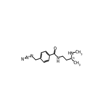 CN[C@@H](C)CCNC(=O)c1ccc(CN=[N+]=[N-])cc1